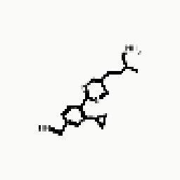 CC(CN)CCc1cnc(-c2ccc(C=N)cc2C2CC2)nc1